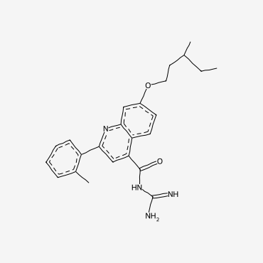 CCC(C)CCOc1ccc2c(C(=O)NC(=N)N)cc(-c3ccccc3C)nc2c1